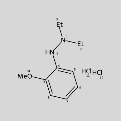 CCN(CC)Nc1ccccc1OC.Cl.Cl